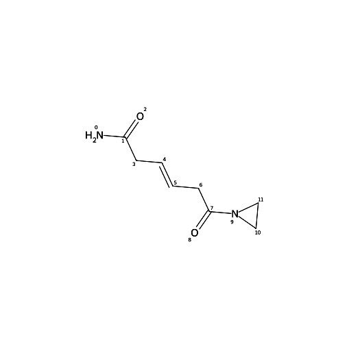 NC(=O)CC=CCC(=O)N1CC1